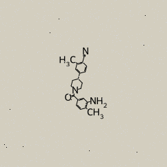 Cc1ccc(C(=O)N2CCC(c3ccc(C#N)c(C)c3)CC2)cc1N